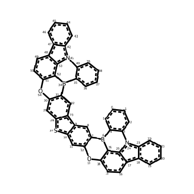 c1ccc2c(c1)B1c3cc4c(cc3Oc3ccc5c6ccccc6n-2c5c31)sc1cc2c(cc14)B1c3ccccc3-n3c4ccccc4c4ccc(c1c43)O2